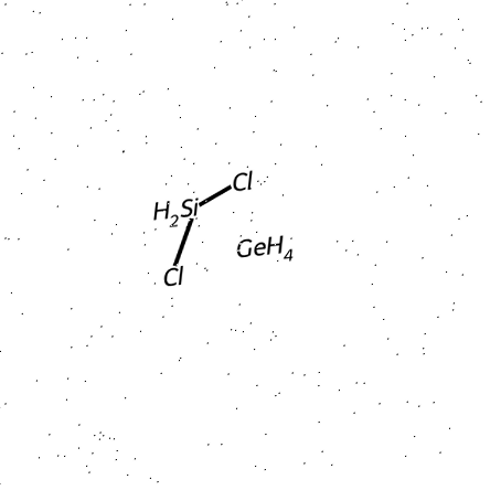 Cl[SiH2]Cl.[GeH4]